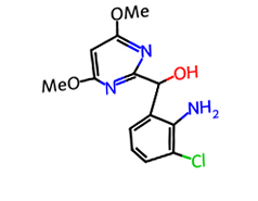 COc1cc(OC)nc(C(O)c2cccc(Cl)c2N)n1